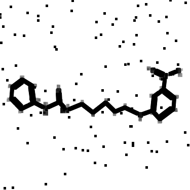 O=C(NCCCCCOc1cccc([N+](=O)[O-])c1)Nc1ccccc1